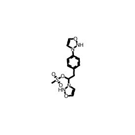 CS(=O)(=O)OC(Cc1ccc(N2C=CON2)cc1)N1C=CON1